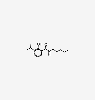 CCCCCNC(=O)c1cccc(C(C)C)c1O